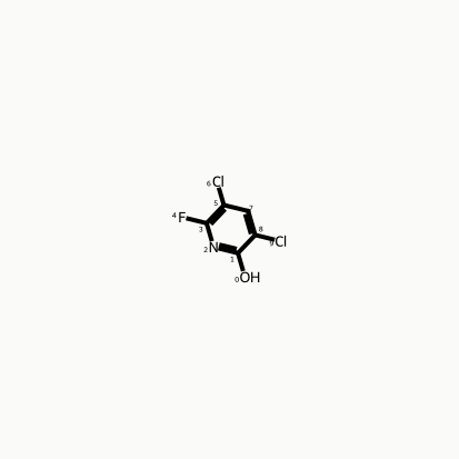 Oc1nc(F)c(Cl)cc1Cl